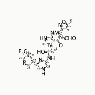 CNC1=C(C(=O)N(C=O)Cc2cc(C)on2)N([C@@H](C)C(O)NC2=CNCC(c3cncc(C(F)(F)F)c3)=N2)CN1